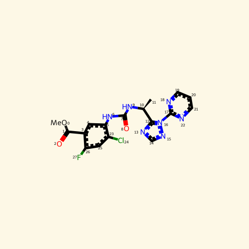 COC(=O)c1cc(NC(=O)N[C@@H](C)c2ncnn2-c2ncccn2)c(Cl)cc1F